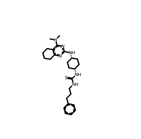 CN(C)c1nc(N[C@H]2CC[C@@H](NC(=S)NCCCc3ccccc3)CC2)nc2c1CCCC2